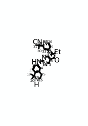 CCn1c(=O)c2cnc(Nc3ccc4c(c3)CCNC4(C)C)nc2n1-c1ccnc(C(C)(C)C#N)c1